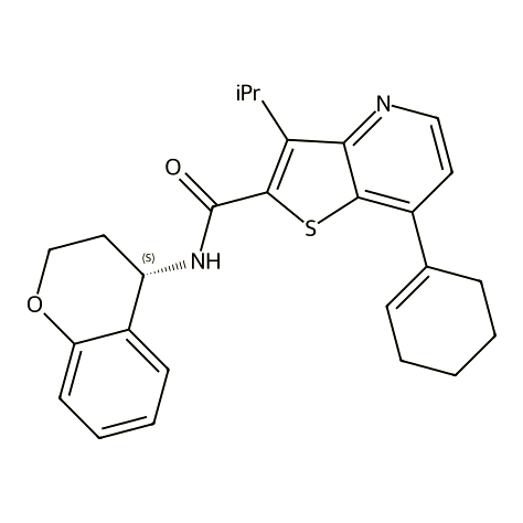 CC(C)c1c(C(=O)N[C@H]2CCOc3ccccc32)sc2c(C3=CCCCC3)ccnc12